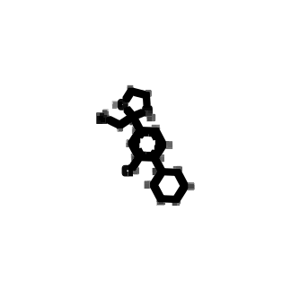 Clc1cc(C2(CBr)OCCO2)ccc1C1CCCCC1